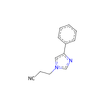 N#CCCn1cnc(-c2ccccc2)c1